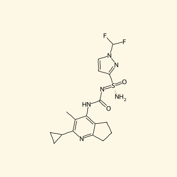 Cc1c(C2CC2)nc2c(c1NC(=O)N=[S@](N)(=O)c1ccn(C(F)F)n1)CCC2